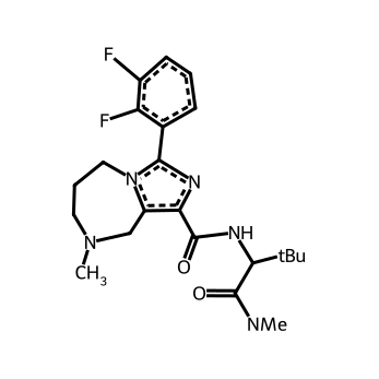 CNC(=O)C(NC(=O)c1nc(-c2cccc(F)c2F)n2c1CN(C)CCC2)C(C)(C)C